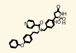 O=C1CC(c2ccc(CN(CCc3ccc(Oc4ccccc4)cc3)C(=O)c3ccncc3)cc2)S(O)(O)N1